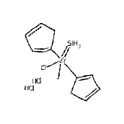 Cl.Cl.[CH3][Zr](=[SiH2])([Cl])([C]1=CC=CC1)[C]1=CC=CC1